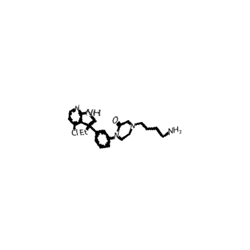 CCC1(c2cccc(N3CCN(CCCCN)CC3=O)c2)CNc2nccc(Cl)c21